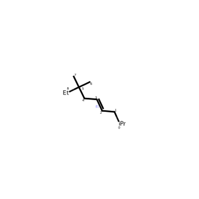 [CH2]C(C)C/C=C/CC(C)(C)CC